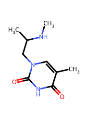 CNC(C)Cn1cc(C)c(=O)[nH]c1=O